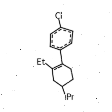 CCC1=C(c2ccc(Cl)cc2)CCC(C(C)C)C1